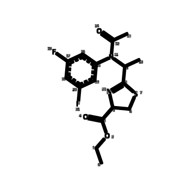 CCOC(=O)C1CSC(C(C)N(C(C)=O)c2cc(F)cc(F)c2)=N1